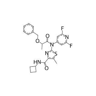 Cc1sc(N(C(=O)C(C)OCc2ccccc2)c2cc(F)nc(F)c2)nc1C(=O)NC1CCC1